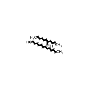 CCCCCCC(CO)CCCC.CCCCCCCCCCCCCO